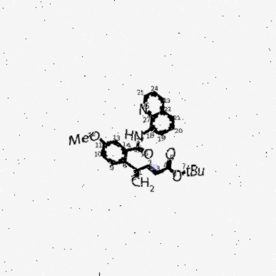 C=C(/C=C/C(=O)OC(C)(C)C)c1ccc(OC)cc1C(=O)Nc1cccc2cccnc12